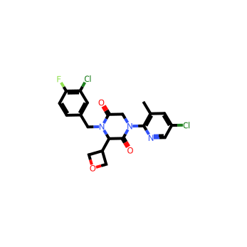 Cc1cc(Cl)cnc1N1CC(=O)N(Cc2ccc(F)c(Cl)c2)C(C2COC2)C1=O